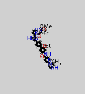 CCOc1cc(NC(=O)c2ccc(N3CCNCC3C)nc2)ccc1-c1ccc(-c2c[nH]c(C3CCCN3C(=O)[C@@H](NC(=O)OC)C(C)C)n2)cc1